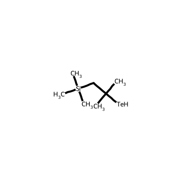 CC(C)([TeH])C[Si](C)(C)C